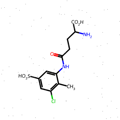 Cc1c(Cl)cc(S(=O)(=O)O)cc1NC(=O)CCC(N)C(=O)O